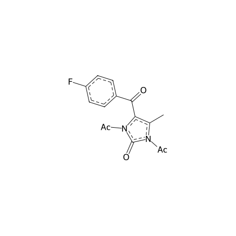 CC(=O)n1c(C)c(C(=O)c2ccc(F)cc2)n(C(C)=O)c1=O